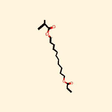 C=CC(=O)OCCCCCCCCCC[CH]OC(=O)C(=C)C